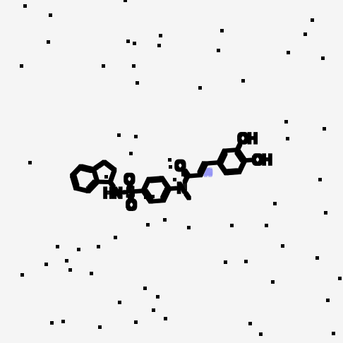 CN(C(=O)/C=C/c1ccc(O)c(O)c1)c1ccc(S(=O)(=O)NC2CCc3ccccc32)cc1